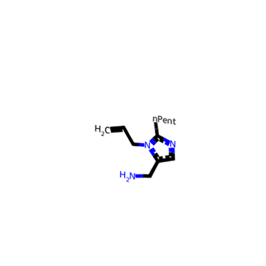 C=CCn1c(CN)cnc1CCCCC